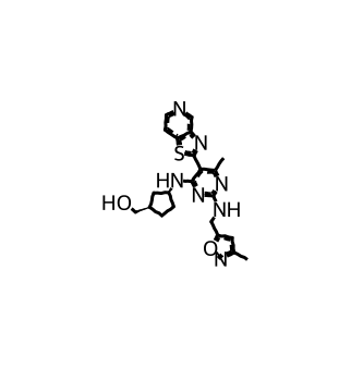 Cc1cc(CNc2nc(C)c(-c3nc4cnccc4s3)c(N[C@H]3CC[C@@H](CO)C3)n2)on1